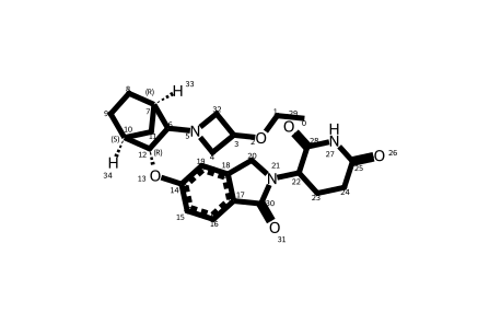 CCOC1CN(C2[C@@H]3CC[C@@H](C3)[C@H]2Oc2ccc3c(c2)CN(C2CCC(=O)NC2=O)C3=O)C1